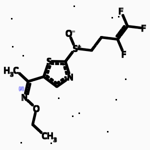 CCO/N=C(/C)c1cnc([S+]([O-])CCC(F)=C(F)F)s1